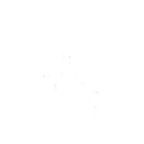 C=C/C=C(/C)SC(=C)c1cc(OC[C@H](O)CN(C)CCC)cc(C(=O)O)c1